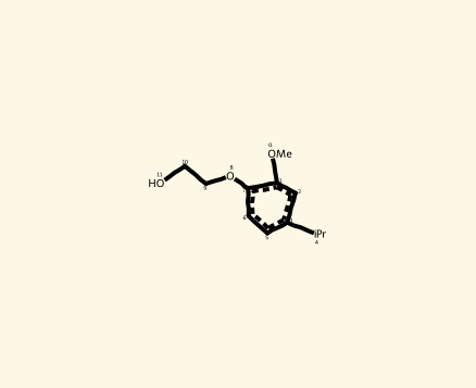 COc1cc(C(C)C)ccc1OCCO